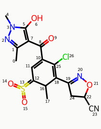 Cc1nn(C)c(O)c1C(=O)C1=CC(=S(=O)=O)C(C)C(C2=NOC(C#N)C2)=C1Cl